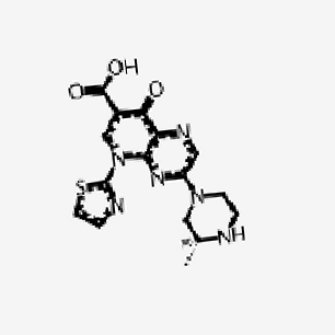 C[C@@H]1CN(c2cnc3c(=O)c(C(=O)O)cn(-c4nccs4)c3n2)CCN1